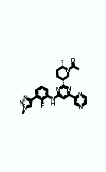 CC(=O)N1C[C@H](c2nc(Nc3cccc(-c4cn(C)nn4)c3F)cc(-c3cnccn3)n2)CC[C@@H]1C